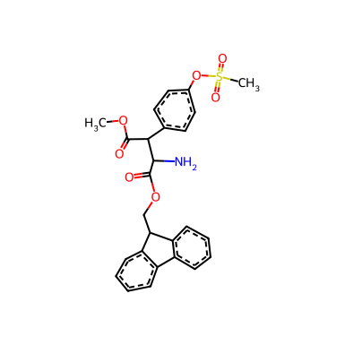 COC(=O)C(c1ccc(OS(C)(=O)=O)cc1)C(N)C(=O)OCC1c2ccccc2-c2ccccc21